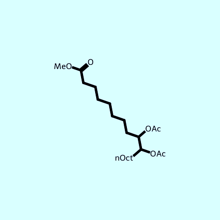 CCCCCCCCC(OC(C)=O)C(CCCCCCCC(=O)OC)OC(C)=O